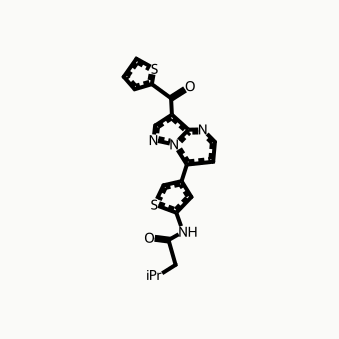 CC(C)CC(=O)Nc1cc(-c2ccnc3c(C(=O)c4cccs4)cnn23)cs1